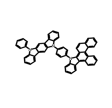 c1ccc(-n2c3ccccc3c3cc4c(cc32)c2ccccc2n4-c2ccc(-n3c4ccccc4c4c5ccccc5c5c6ccccc6ccc5c43)cc2)cc1